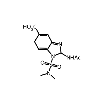 CC(=O)NC1N=C2C=C(C(=O)O)CC=C2N1S(=O)(=O)N(C)C